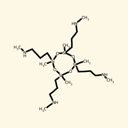 CNCCC[Si]1(C)O[Si](C)(CCCNC)O[Si](C)(CCCNC)O[Si](C)(CCCNC)O1